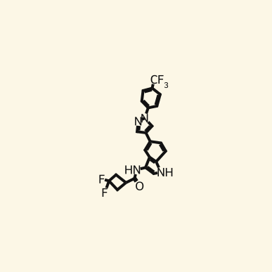 O=C(Nc1c[nH]c2ccc(-c3cnn(-c4ccc(C(F)(F)F)cc4)c3)cc12)C1CC(F)(F)C1